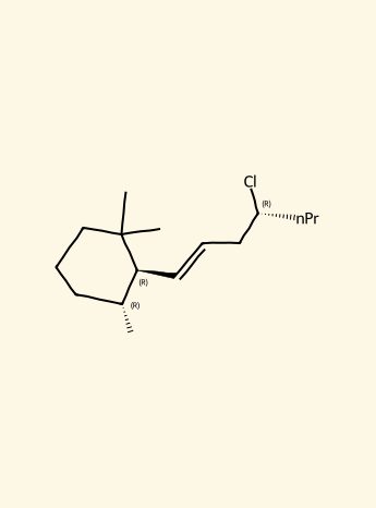 CCC[C@@H](Cl)CC=C[C@H]1[C@H](C)CCCC1(C)C